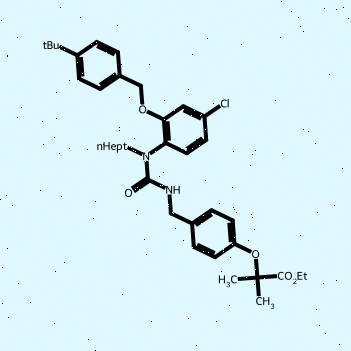 CCCCCCCN(C(=O)NCc1ccc(OC(C)(C)C(=O)OCC)cc1)c1ccc(Cl)cc1OCc1ccc(C(C)(C)C)cc1